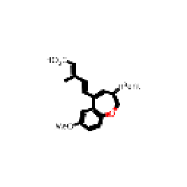 CCCCCC1C=C(/C=C/C(C)=C/C(=O)O)c2cc(OC)ccc2OC1